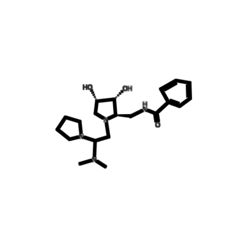 CN(C)C(CN1C[C@H](O)[C@H](O)[C@H]1CNC(=O)c1ccccc1)N1CCCC1